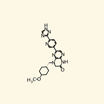 CO[C@H]1CC[C@H](CN2CC(=O)Nc3ncc(-c4ccc(-c5nc[nH]n5)nc4)nc32)CC1